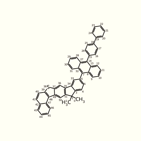 CC1(C)c2ccc(-c3c4ccccc4c(-c4ccc(-c5ccccc5)cc4)c4ccccc34)cc2-c2cc3sc4ccc5ccccc5c4c3cc21